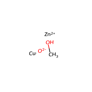 CO.[Cu].[O-2].[Zn+2]